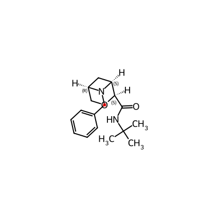 CC(C)(C)NC(=O)[C@H]1OC[C@H]2C[C@@H]1N2Cc1ccccc1